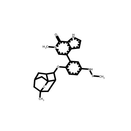 CSNc1ccc(OC2C3CC4CC5(C)CC2C3(C4)C5)c(-c2cn(C)c(=O)c3[nH]ccc23)c1